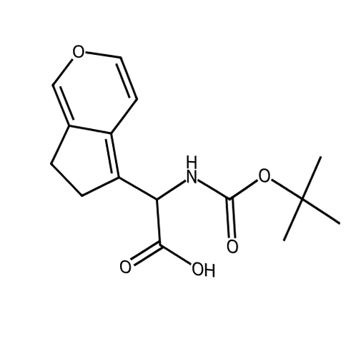 CC(C)(C)OC(=O)NC(C(=O)O)C1=C2C=COC=C2CC1